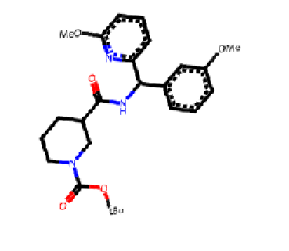 COc1cccc(C(NC(=O)C2CCCN(C(=O)OC(C)(C)C)C2)c2cccc(OC)n2)c1